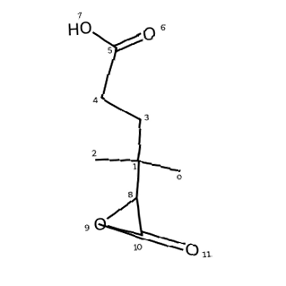 CC(C)(CCC(=O)O)C1OC1=O